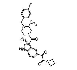 C[C@@H]1CN(Cc2ccc(F)cc2)[C@@H](C)CN1C(=O)c1c[nH]c2ccc(C(=O)C(=O)N3CCC3)cc12